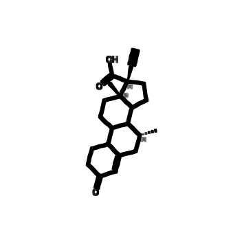 C#C[C@@]1(C(=O)O)CCC2C3C(CC[C@@]21C)C1CCC(=O)C=C1C[C@H]3C